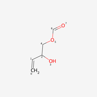 C=CC(O)COC=O